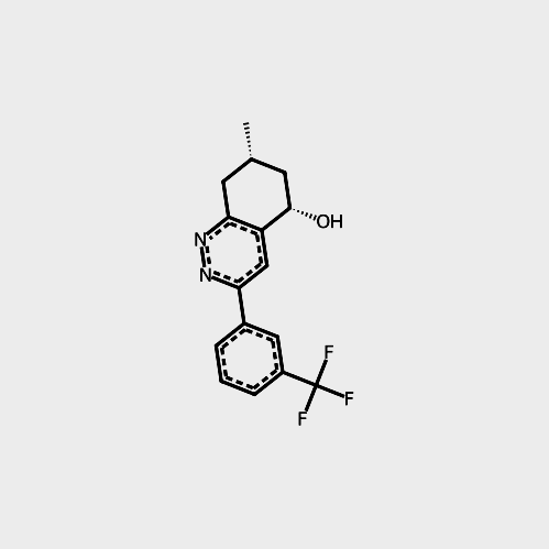 C[C@H]1Cc2nnc(-c3cccc(C(F)(F)F)c3)cc2[C@@H](O)C1